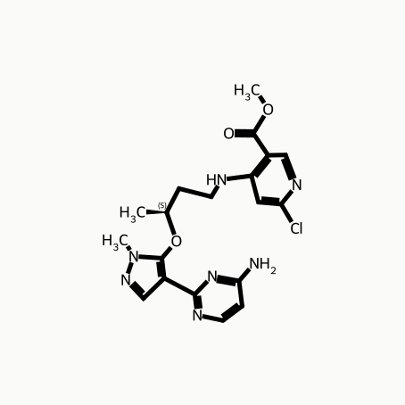 COC(=O)c1cnc(Cl)cc1NCC[C@H](C)Oc1c(-c2nccc(N)n2)cnn1C